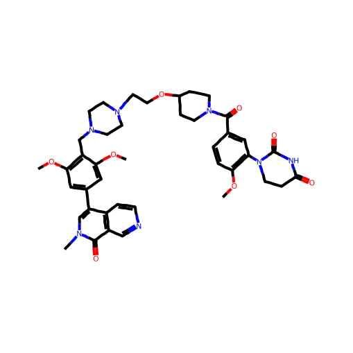 COc1ccc(C(=O)N2CCC(OCCN3CCN(Cc4c(OC)cc(-c5cn(C)c(=O)c6cnccc56)cc4OC)CC3)CC2)cc1N1CCC(=O)NC1=O